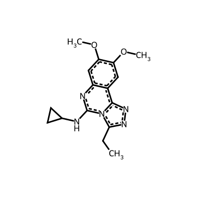 CCc1nnc2c3cc(OC)c(OC)cc3nc(NC3CC3)n12